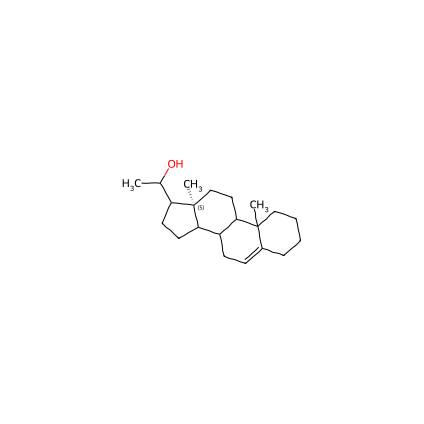 CC(O)C1CCC2C3CC=C4CCCCC4(C)C3CC[C@]12C